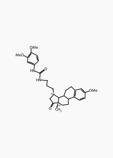 COc1ccc2c(c1)CCC1C2CC[C@]2(C)C(=O)C[C@@H](CCCNC(=O)Nc3ccc(OC)c(OC)c3)C12